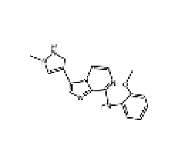 COc1ccccc1Nc1nccn2c(C3=CN(C)NC3)cnc12